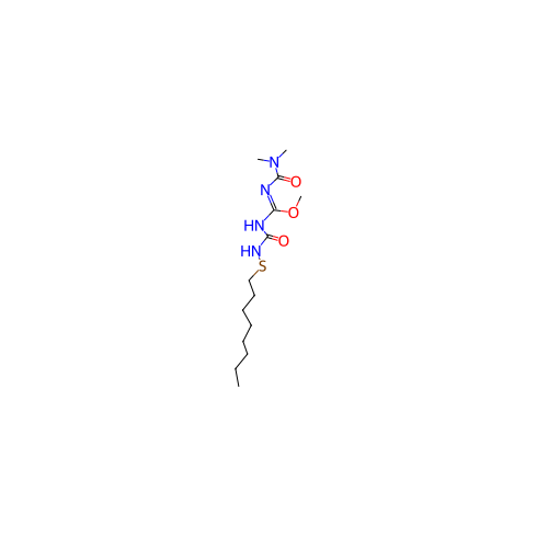 CCCCCCCCSNC(=O)NC(=NC(=O)N(C)C)OC